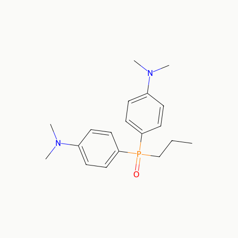 CCCP(=O)(c1ccc(N(C)C)cc1)c1ccc(N(C)C)cc1